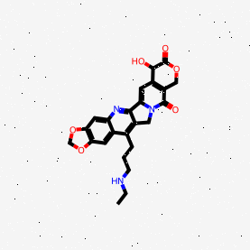 CCNCCCc1c2c(nc3cc4c(cc13)OCO4)-c1cc3c(c(=O)n1C2)COC(=O)C3O